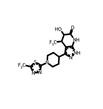 O=C1Nc2[nH]nc(C3CCN(c4nnc(C(F)(F)F)s4)CC3)c2C(C(F)(F)F)C1O